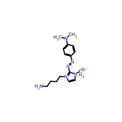 CN(C)c1ccc(/N=N/c2n(C)cc[n+]2CCCCN)cc1.[Br-]